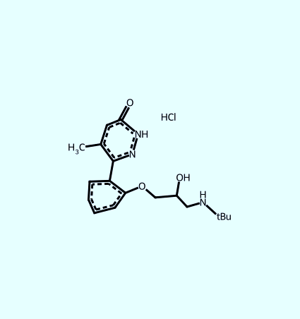 Cc1cc(=O)[nH]nc1-c1ccccc1OCC(O)CNC(C)(C)C.Cl